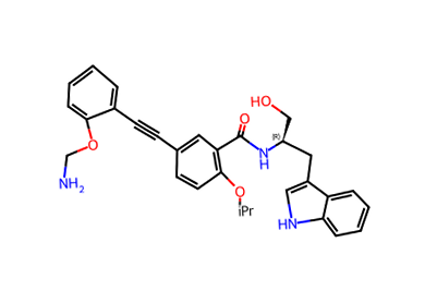 CC(C)Oc1ccc(C#Cc2ccccc2OCN)cc1C(=O)N[C@@H](CO)Cc1c[nH]c2ccccc12